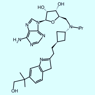 CC(C)N(C[C@H]1O[C@@H](n2cnc3c(N)ncnc32)[C@H](O)[C@@H]1O)[C@H]1C[C@H](CCC2=Nc3cc(C(C)(C)CO)ccc3C2)C1